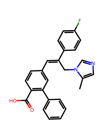 Cc1cncn1CC(=Cc1ccc(C(=O)O)c(-c2ccccc2)c1)c1ccc(F)cc1